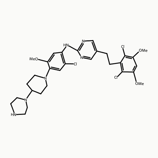 COc1cc(Nc2ncc(CCc3c(Cl)c(OC)cc(OC)c3Cl)cn2)c(Cl)cc1N1CCC(N2CCNCC2)CC1